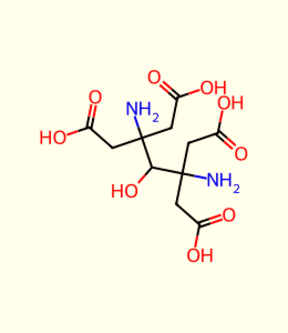 NC(CC(=O)O)(CC(=O)O)C(O)C(N)(CC(=O)O)CC(=O)O